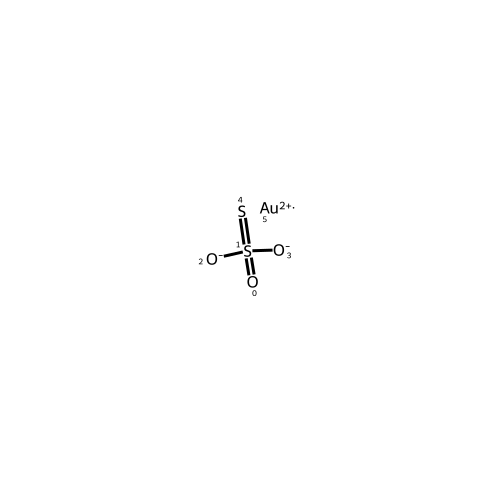 O=S([O-])([O-])=S.[Au+2]